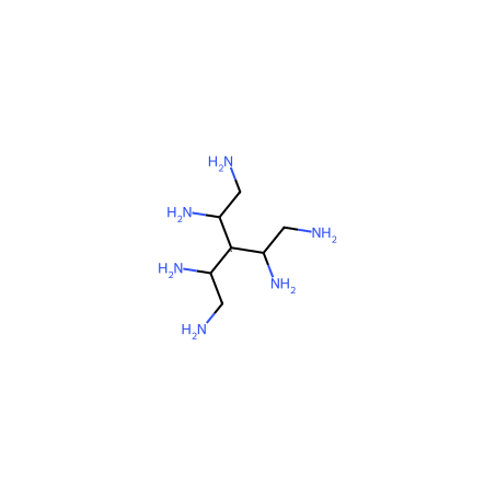 NCC(N)[C](C(N)CN)C(N)CN